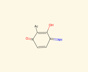 CC(=O)C1=C(O)C(=N)C=CC1=O